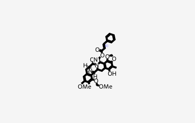 COCOc1c(OC)c(C)cc2c1[C@@H]1C3Cc4c(O)c(C)c5c(c4[C@H](COC(=O)/C=C/c4ccccc4)N3[C@@H](C#N)[C@H](C2)N1C)OCO5